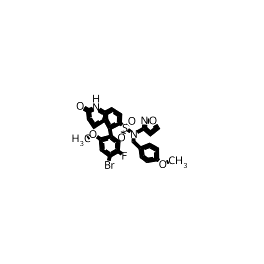 COc1ccc(CN(c2ccon2)S(=O)(=O)c2ccc3[nH]c(=O)ccc3c2-c2cc(F)c(Br)cc2OC)cc1